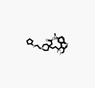 COc1ccc2ncc(CF)c([C@H](F)CCC3(CC(=O)O)CCN(CCSC4CCCC4)CC3)c2c1